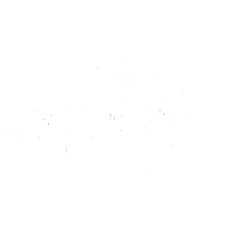 CC(=O)OC(CN1C(=O)c2ccccc2C1=O)CN(C(=O)OC(C)(C)C)c1ccc(N2CCOCC2)c(F)c1